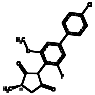 COc1cc(-c2ccc(Cl)cc2)cc(F)c1C1C(=O)C[C@@H](C)C1=O